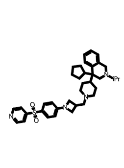 CC(C)N1Cc2ccccc2C(C2CCCC2)(C2CCN(CC3CN(c4ccc(S(=O)(=O)c5ccncc5)cc4)C3)CC2)C1